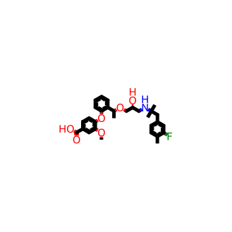 COc1cc(C(=O)O)ccc1Oc1ccccc1C(C)OC[C@@H](O)CNC(C)(C)Cc1ccc(C)c(F)c1